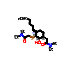 CCCCCCCCCCCCC/C=C1\CC[C@@H](CC(=O)N(CC)CC)[C@H](O)[C@H]1SCC(=O)N(CC)CC